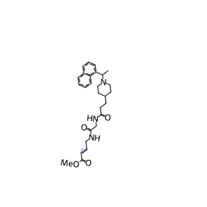 COC(=O)/C=C/CNC(=O)CNC(=O)CCC1CCN(C(C)c2cccc3ccccc23)CC1